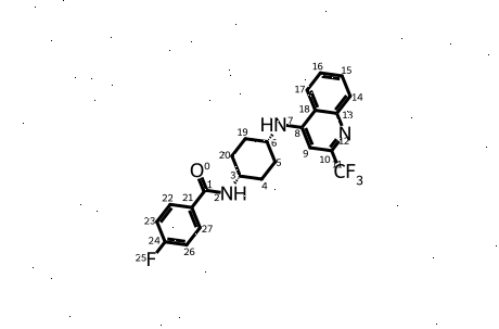 O=C(N[C@H]1CC[C@@H](Nc2cc(C(F)(F)F)nc3ccccc23)CC1)c1ccc(F)cc1